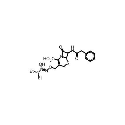 CCN(CC)/[N+](O)=N/OCC1=C(C(=O)O)N2C(=O)C(NC(=O)Cc3ccccc3)C2SC1